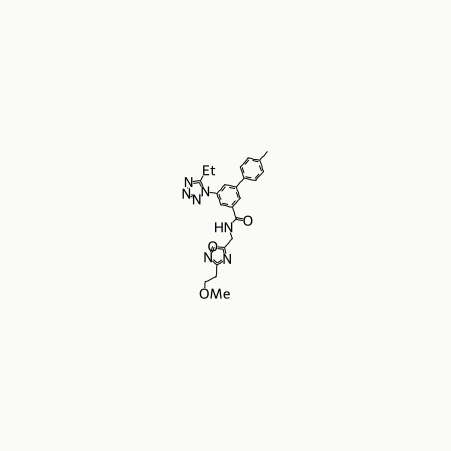 CCc1nnnn1-c1cc(C(=O)NCc2nc(CCOC)no2)cc(-c2ccc(C)cc2)c1